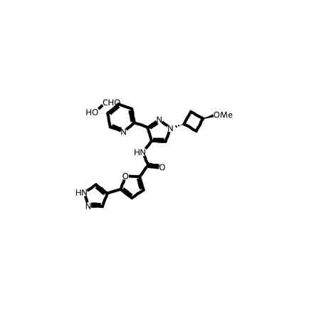 CO[C@H]1C[C@H](n2cc(NC(=O)c3ccc(-c4cn[nH]c4)o3)c(-c3ccccn3)n2)C1.O=CO